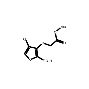 CC(C)(C)OC(=O)COc1c(Cl)csc1C(=O)O